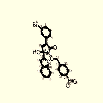 O=C1C(c2cccc(Br)c2)=CC(O)(c2cc3ccccc3o2)N1OCc1ccc([N+](=O)[O-])cc1